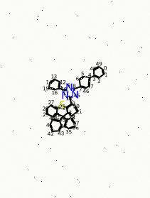 c1ccc(-c2ccc(-c3nc(-c4ccccc4)nc(-c4cccc5c4Sc4ccccc4C5(c4ccccc4)c4ccccc4)n3)cc2)cc1